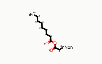 CCCCCCCCCCC(=O)OC(=O)CCCCCCCC(C)C